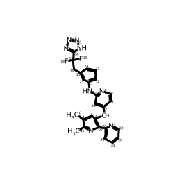 Cc1cc(Oc2ccnc(Nc3cccc(CC(F)(F)c4nnn[nH]4)c3)c2)c(-c2ccccn2)nc1C